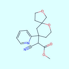 COC(=O)C(C#N)C1(c2ccccn2)CCOC2(CCOC2)C1